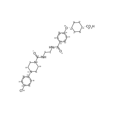 O=C(NCCNC(=O)N1CCN(c2ccc(Cl)cc2)CC1)c1ccc(O[C@H]2CC[C@@H](C(=O)O)CC2)cc1